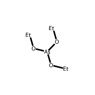 CCO[As](OCC)OCC